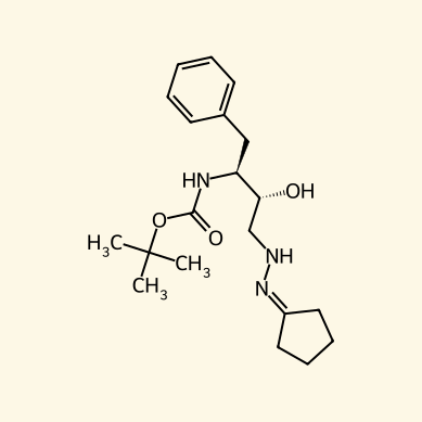 CC(C)(C)OC(=O)N[C@@H](Cc1ccccc1)[C@H](O)CNN=C1CCCC1